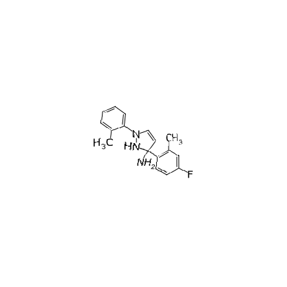 Cc1ccccc1N1C=CC(N)(c2ccc(F)cc2C)N1